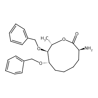 C[C@@H]1OC(=O)[C@@H](N)CCCC[C@H](OCc2ccccc2)[C@H]1OCc1ccccc1